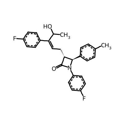 Cc1ccc([C@@H]2[C@@H](C/C=C(/c3ccc(F)cc3)C(C)O)C(=O)N2c2ccc(F)cc2)cc1